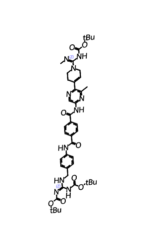 C/N=C(/NC(=O)OC(C)(C)C)N1CC=C(c2ncc(NC(=O)c3ccc(C(=O)Nc4ccc(CN/C(=N/C(=O)OC(C)(C)C)NC(=O)OC(C)(C)C)cc4)cc3)nc2C)CC1